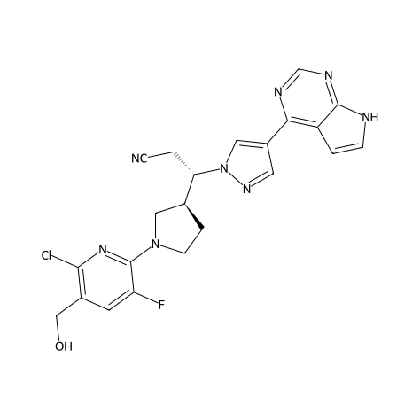 N#CC[C@@H]([C@H]1CCN(c2nc(Cl)c(CO)cc2F)C1)n1cc(-c2ncnc3[nH]ccc23)cn1